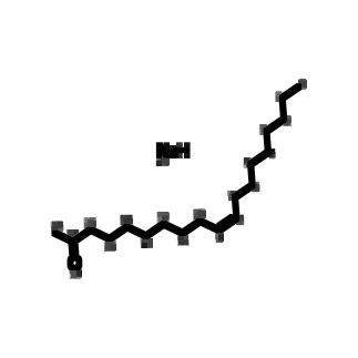 CCCCCCCC/C=C\CCCCCCCC(C)=O.[NaH]